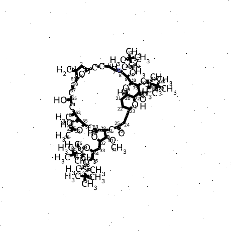 C=C1CC2CCC/C=C/C(O[Si](C)(C)C(C)(C)C)C3O[C@H]4CCC(CC(=O)CC5[C@@H](OC)C(CC(CO[Si](C)(C)C(C)(C)C)O[Si](C)(C)C(C)(C)C)O[C@H]5CC(OC(C)=O)C(=C)C(C)CC(O)CCC1O2)OC4[C@H](O)C3O[Si](C)(C)C(C)(C)C